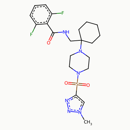 Cn1cc(S(=O)(=O)N2CCN(C3(CNC(=O)c4c(F)cccc4F)CCCCC3)CC2)nn1